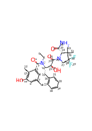 CCN(C(=O)c1cc(C)cc(O)c1C)[C@@H](Cc1ccccc1)[C@H](O)C(=O)N1CC(F)(F)C(C)(C)[C@H]1C(N)=O